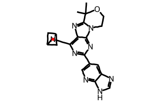 CC1(C)OCCn2c1nc1c(N3CC4CC3C4)nc(-c3cnc4[nH]cnc4c3)nc12